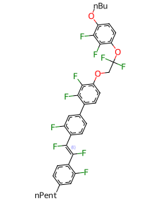 CCCCCc1ccc(/C(F)=C(\F)c2ccc(-c3ccc(OCC(F)(F)Oc4ccc(OCCCC)c(F)c4F)c(F)c3F)cc2F)c(F)c1